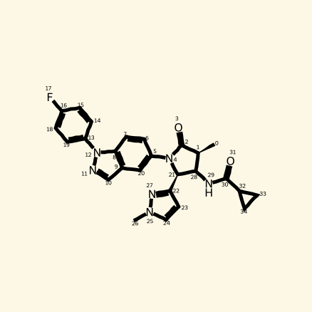 C[C@@H]1C(=O)N(c2ccc3c(cnn3-c3ccc(F)cc3)c2)[C@H](c2ccn(C)n2)C1NC(=O)C1CC1